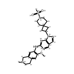 COc1cc2c(cc1Nc1ncc3cnn(C4CC5(CCN(S(C)(=O)=O)CC5)C4)c3n1)CN(C)CC2